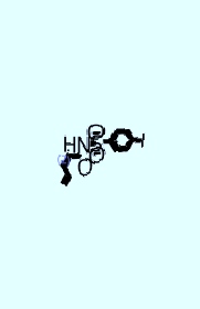 C=C/C=[C]\C(=O)NS(=O)(=O)c1ccc(I)cc1